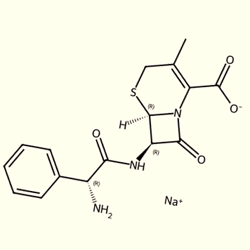 CC1=C(C(=O)[O-])N2C(=O)[C@@H](NC(=O)[C@H](N)c3ccccc3)[C@H]2SC1.[Na+]